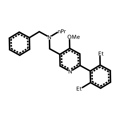 CCCN(Cc1ccccc1)Cc1cnc(-c2c(CC)cccc2CC)cc1OC